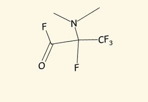 CN(C)C(F)(C(=O)F)C(F)(F)F